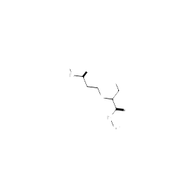 CCCNC(=O)C(CO)OCCC(=O)NCC